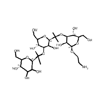 CC(C)(OC1C(O)[C@H](C(C)(C)OC2C(O)[C@H](OCCN)OC(CO)[C@H]2O)OC(CO)[C@H]1O)[C@@H]1OC(CO)[C@@H](O)C(O)C1O